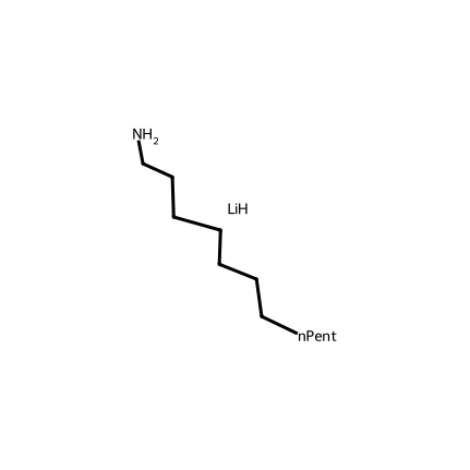 CCCCCCCCCCCCN.[LiH]